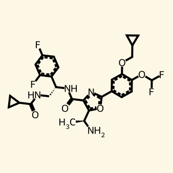 C[C@H](N)c1oc(-c2ccc(OC(F)F)c(OCC3CC3)c2)nc1C(=O)N[C@H](CNC(=O)C1CC1)c1ccc(F)cc1F